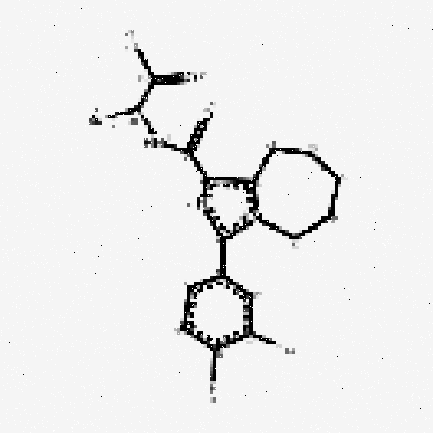 CC[C@H](C)[C@H](NC(=O)c1nc(-c2ccc(F)c(F)c2)n2c1CCCCC2)C(N)=O